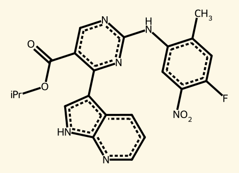 Cc1cc(F)c([N+](=O)[O-])cc1Nc1ncc(C(=O)OC(C)C)c(-c2c[nH]c3ncccc23)n1